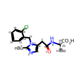 CCCCc1ncc(CC(=O)N[C@H](C(=O)O)[C@@H](C)CC)n1Cc1ccccc1Cl